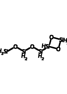 [SiH3]O[SiH2]O[SiH2][SiH]1O[SiH2]O1